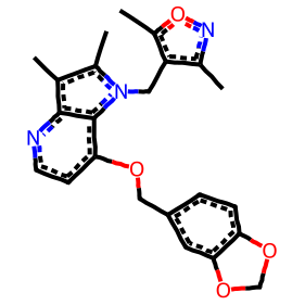 Cc1noc(C)c1Cn1c(C)c(C)c2nccc(OCc3ccc4c(c3)OCO4)c21